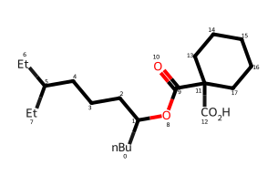 CCCCC(CCCC(CC)CC)OC(=O)C1(C(=O)O)CCCCC1